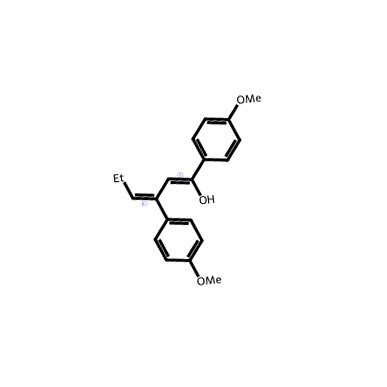 CC/C=C(\C=C(/O)c1ccc(OC)cc1)c1ccc(OC)cc1